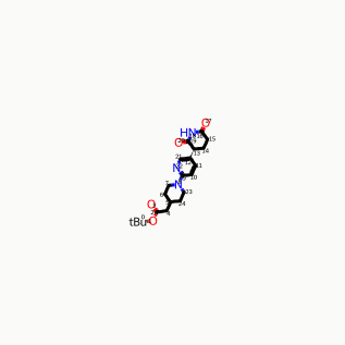 CC(C)(C)OC(=O)CC1CCN(c2ccc([C@H]3CCC(=O)NC3=O)cn2)CC1